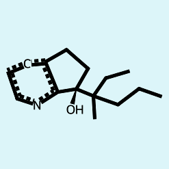 CCCC(C)(CC)[C@@]1(O)CCc2cccnc21